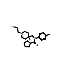 Cc1ccc(N(CC2(F)CCN(CCC(C)(C)C)CC2)C(=O)C2CCCC2)cc1